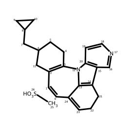 C1=CC2=C(CCC(CC3CC3)C2)n2c3c(c4cnccc42)CCC=C13.CS(=O)(=O)O